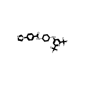 O=C(N[C@H]1CC[C@@H](Nc2cc(C(F)(F)F)nc(C(F)(F)F)c2)CC1)c1ccc(-n2ccnc2)cc1